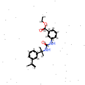 C=C(C)c1cccc(C(C)(C)NC(=O)Nc2cccc(C(=O)OCC)c2)c1